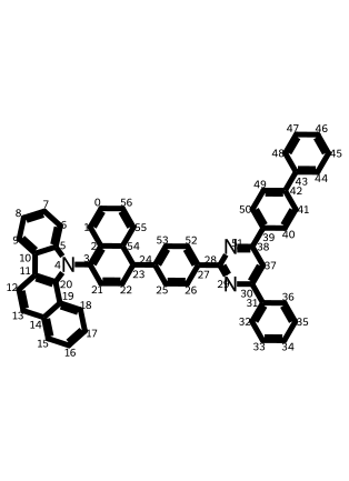 C1=CC2=C(n3c4ccccc4c4ccc5ccccc5c43)C=CC(c3ccc(-c4nc(-c5ccccc5)cc(-c5ccc(-c6ccccc6)cc5)n4)cc3)C2C=C1